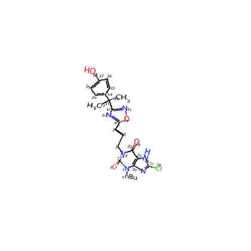 CCCCn1c(=O)n(CCCc2nc(C(C)(C)c3ccc(O)cc3)no2)c(=O)c2[nH]c(Cl)nc21